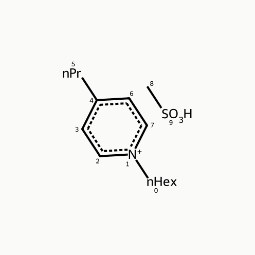 CCCCCC[n+]1ccc(CCC)cc1.CS(=O)(=O)O